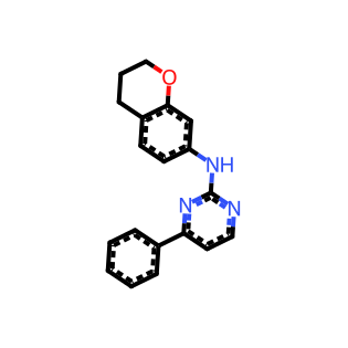 c1ccc(-c2ccnc(Nc3ccc4c(c3)OCCC4)n2)cc1